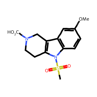 COc1ccc2c(c1)c1c(n2S(C)(=O)=O)CCN(C(=O)O)C1